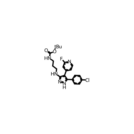 CC(C)(C)OC(=O)NCCCNc1n[nH]c(-c2ccc(Cl)cc2)c1-c1ccnc(F)c1